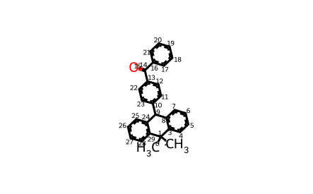 CC1(C)c2ccccc2C(c2ccc(C(=O)c3ccccc3)cc2)c2ccccc21